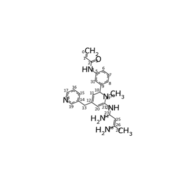 C=CC(=O)Nc1cccc(C2C=C(Cc3cccnc3)C=C(NC(N)/C=C(/C)N)N2C)c1